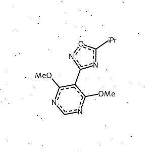 COc1ncnc(OC)c1-c1noc(C(C)C)n1